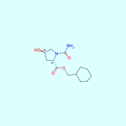 NC(=O)N1C[C@H](O)C[C@H]1C(=O)OCC1CCCCC1